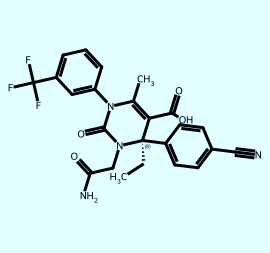 CC[C@@]1(c2ccc(C#N)cc2)C(C(=O)O)=C(C)N(c2cccc(C(F)(F)F)c2)C(=O)N1CC(N)=O